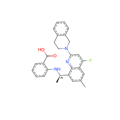 Cc1cc([C@@H](C)Nc2ccccc2C(=O)O)c2nc(N3CCc4ccccc4C3)cc(F)c2c1